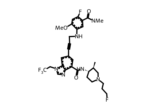 CNC(=O)c1cc(NCC#Cc2cc(C(=O)N[C@H]3CCN(CCCF)C[C@@H]3C)c3ncn(CC(F)(F)F)c3c2)c(OC)cc1F